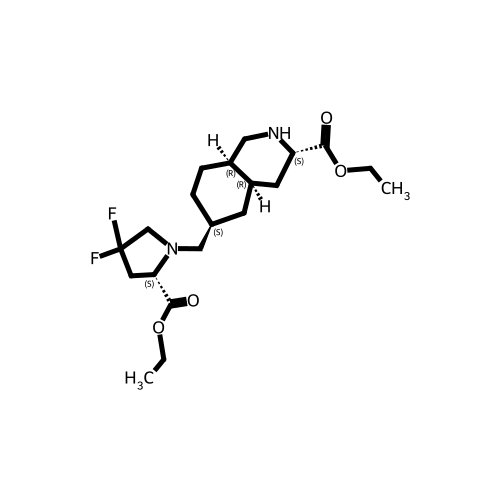 CCOC(=O)[C@@H]1C[C@H]2C[C@@H](CN3CC(F)(F)C[C@H]3C(=O)OCC)CC[C@H]2CN1